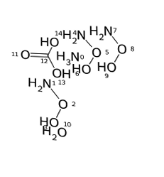 N.NOO.NOO.NOO.O.O=C(O)O